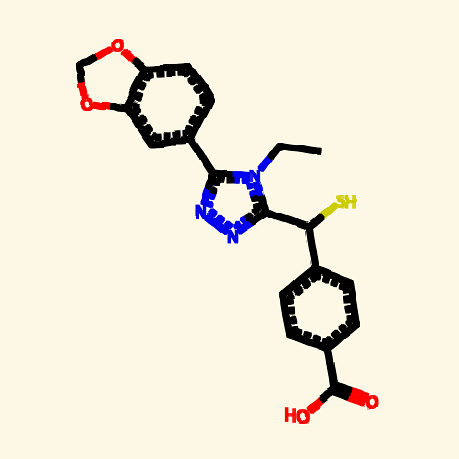 CCn1c(-c2ccc3c(c2)OCO3)nnc1C(S)c1ccc(C(=O)O)cc1